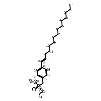 CCCCCCCCCCCCC/C=C/c1ccc(CP(=O)(OC)OC)cc1